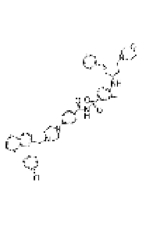 Cc1cc(S(=O)(=O)NC(=O)c2ccc(N3CCN(Cc4ccc5ccccc5c4-c4ccc(Cl)cc4)CC3)cc2)ccc1N[C@H](CCN1CCOCC1)CSc1ccccc1